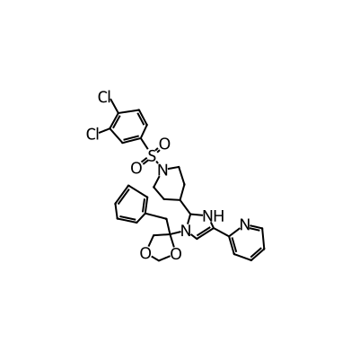 O=S(=O)(c1ccc(Cl)c(Cl)c1)N1CCC(C2NC(c3ccccn3)=CN2C2(Cc3ccccc3)COCO2)CC1